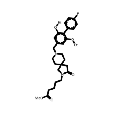 CCOc1cc(CN2CCC3(CC2)CC(=O)N(CCCCC(=O)OC)C3)cc(OCC)c1-c1ccc(F)cc1